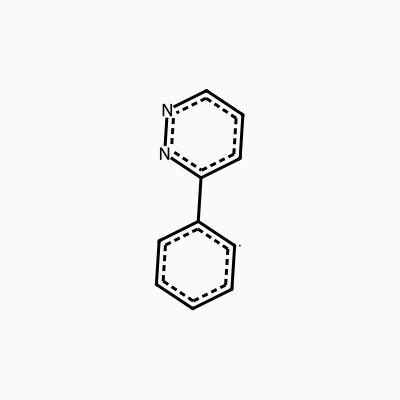 [c]1ccccc1-c1cccnn1